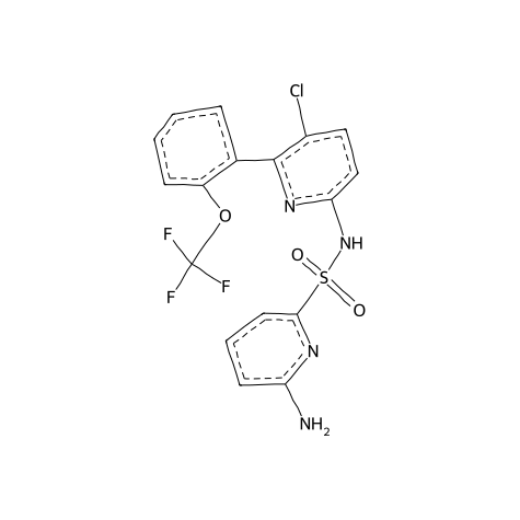 Nc1cccc(S(=O)(=O)Nc2ccc(Cl)c(-c3ccccc3OC(F)(F)F)n2)n1